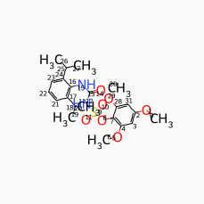 COc1cc(OC)c(OS(=O)(=O)NC(=O)Nc2c(C(C)C)cccc2C(C)C)c(OC)c1